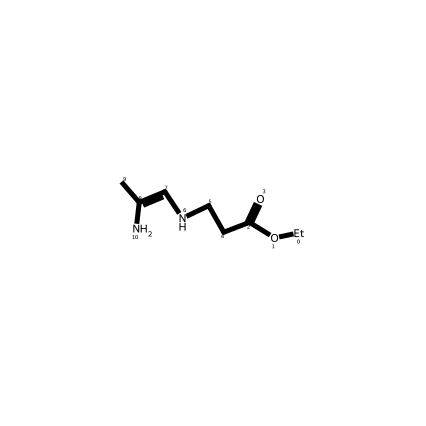 CCOC(=O)CCNC=C(C)N